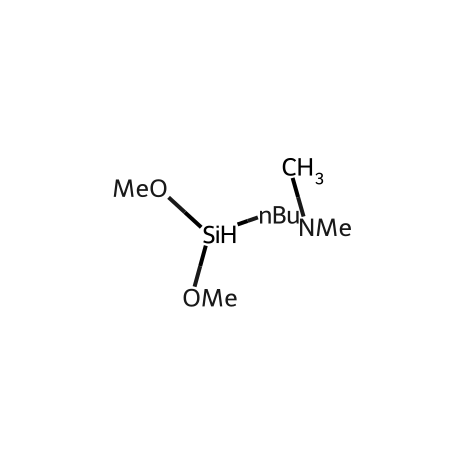 CCCC[SiH](OC)OC.CNC